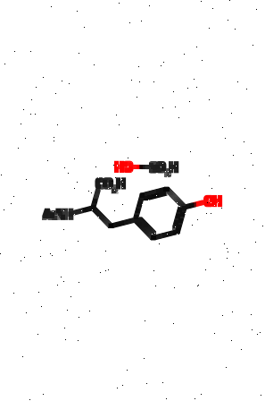 CC(=O)NC(Cc1ccc(O)cc1)C(=O)O.O=S(=O)(O)O